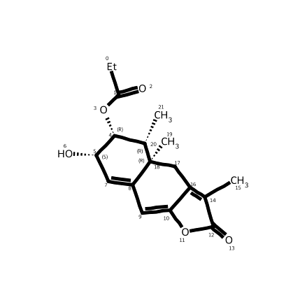 CCC(=O)O[C@H]1[C@@H](O)C=C2C=C3OC(=O)C(C)=C3C[C@]2(C)[C@H]1C